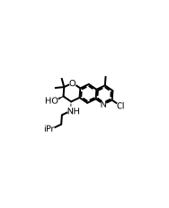 Cc1cc(Cl)nc2cc3c(cc12)OC(C)(C)[C@H](O)[C@H]3NCCC(C)C